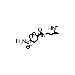 C=C(CCNC(=O)C1CCC([S+](N)[O-])OO1)NC